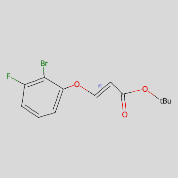 CC(C)(C)OC(=O)/C=C/Oc1cccc(F)c1Br